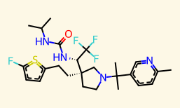 Cc1ccc(C(C)(C)N2CC[C@@](CCc3ccc(F)s3)([C@H](NC(=O)NC(C)C)C(F)(F)F)C2)cn1